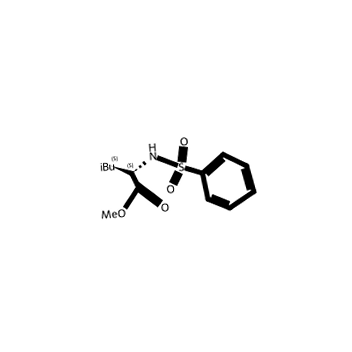 CC[C@H](C)[C@H](NS(=O)(=O)c1ccccc1)C(=O)OC